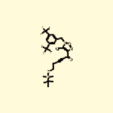 CC(C)(C)[Si](C)(C)OCCC#CC(=O)c1nnn(Cc2cc(C(F)(F)F)cc(C(F)(F)F)c2)c1Cl